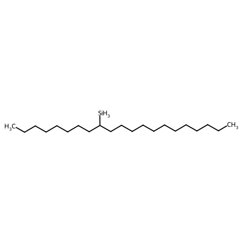 CCCCCCCCCCCCC([SiH3])CCCCCCCC